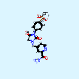 NC(=O)c1cc(CN2CC(=O)N(c3ccc(S(=O)(=O)C(F)(F)F)cc3)C2=O)ccn1